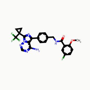 COc1ccc(F)cc1C(=O)NCc1ccc(-c2nc(C3(C(F)(F)F)CC3)n3ncnc(N)c23)cc1